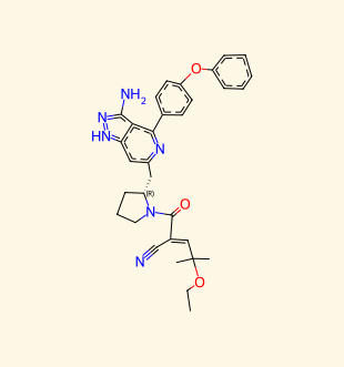 CCOC(C)(C)C=C(C#N)C(=O)N1CCC[C@@H]1Cc1cc2[nH]nc(N)c2c(-c2ccc(Oc3ccccc3)cc2)n1